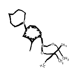 CC1(C)OB(c2ccc(N3CCCCC3)cc2F)OC1(C)C